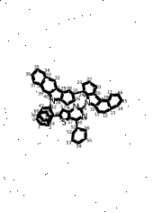 c1ccc(-c2cc3nc(-n4c5ccc6ccccc6c5c5cccc(-c6ccc7c(c6)c6cc8ccccc8cc6n7-c6ccccc6)c54)nc(-c4ccccc4)c3s2)cc1